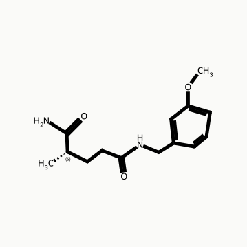 COc1cccc(CNC(=O)[CH]C[C@H](C)C(N)=O)c1